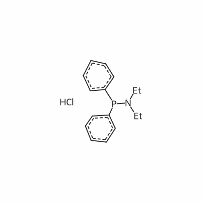 CCN(CC)P(c1ccccc1)c1ccccc1.Cl